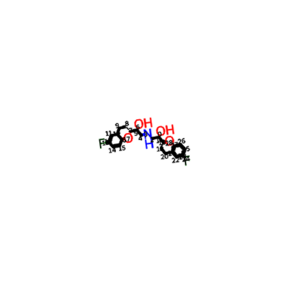 O[C@H](CNC[C@@H](O)[C@H]1CCC2C=C(F)C=CC2O1)[C@@H]1CCc2cc(F)ccc2O1